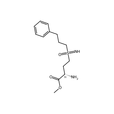 COC(=O)[C@@H](N)CCS(=N)(=O)CCCc1ccccc1